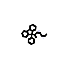 C=C(/C=C\C=C/C)C1(c2ccccc2)c2ccccc2-c2ccccc21